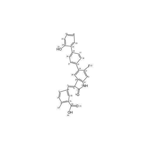 Cc1ccc(C=C2C(=O)Nc3cc(F)c(-c4ccc(-c5ccccc5O)cc4)cc32)cc1C(=O)O